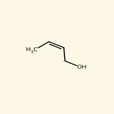 C/C=C\[CH]O